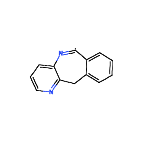 [C]1=Nc2cccnc2Cc2ccccc21